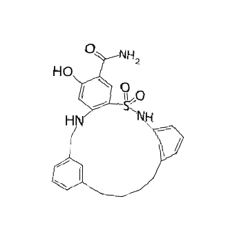 NC(=O)c1cc2c(cc1O)NCc1cccc(c1)CCCCc1cccc(c1)NS2(=O)=O